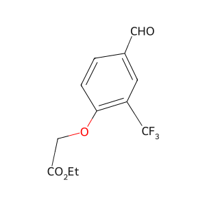 CCOC(=O)COc1ccc(C=O)cc1C(F)(F)F